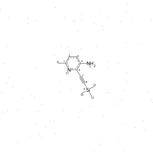 Cc1ccc(N)c(C#C[Si](C)(C)C)n1